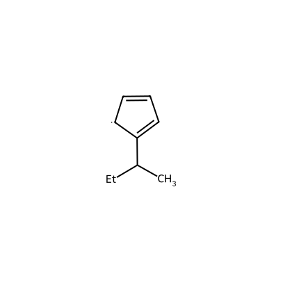 CCC(C)C1=CC=C[CH]1